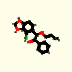 CC=COC(C(=O)c1ccccc1)c1ccc2c(c1Cl)OCO2